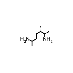 CC(N)CC[C@H](C)[C@@H](C)N